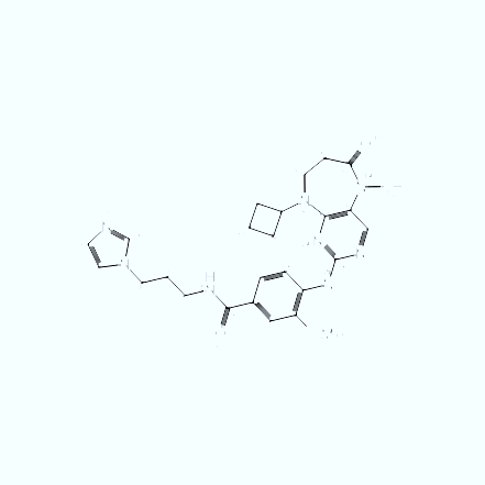 COc1cc(C(=O)NCCCn2ccnc2)ccc1Nc1ncc2c(n1)N(C1CCC1)CCC(=O)N2C